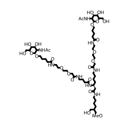 COCC(CO)CCCCNC(=O)C[C@H](CCCCNC(=O)COCCOCCNC(=O)CCCCO[C@@H]1OC(CO)[C@H](O)[C@H](O)C1NC(C)=O)NC(=O)CCCNC(=O)COCCOCCNC(=O)CCCCO[C@@H]1OC(CO)[C@H](O)[C@H](O)C1NC(C)=O